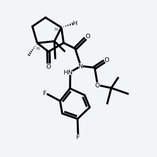 CC(C)(C)OC(=O)N(Nc1ccc(F)cc1F)C(=O)C1C(=O)[C@@]2(C)CC[C@@H]1C2(C)C